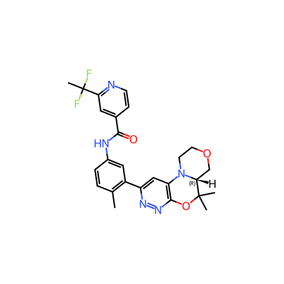 Cc1ccc(NC(=O)c2ccnc(C(C)(F)F)c2)cc1-c1cc2c(nn1)OC(C)(C)[C@H]1COCCN21